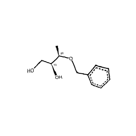 C[C@@H](OCc1ccccc1)[C@@H](O)CO